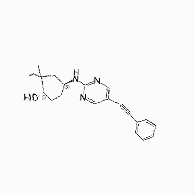 CC1(C)C[C@@H](Nc2ncc(C#Cc3ccccc3)cn2)CC[C@@H]1O